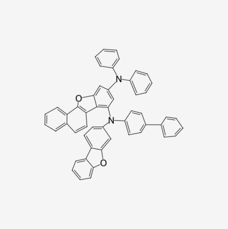 c1ccc(-c2ccc(N(c3ccc4c(c3)oc3ccccc34)c3cc(N(c4ccccc4)c4ccccc4)cc4oc5c6ccccc6ccc5c34)cc2)cc1